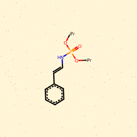 CC(C)OP(=O)(NC=Cc1ccccc1)OC(C)C